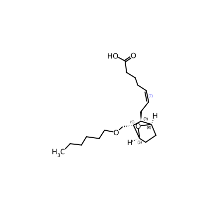 CCCCCCOC[C@@H]1[C@@H](C/C=C\CCCC(=O)O)[C@H]2CC[C@@H]1O2